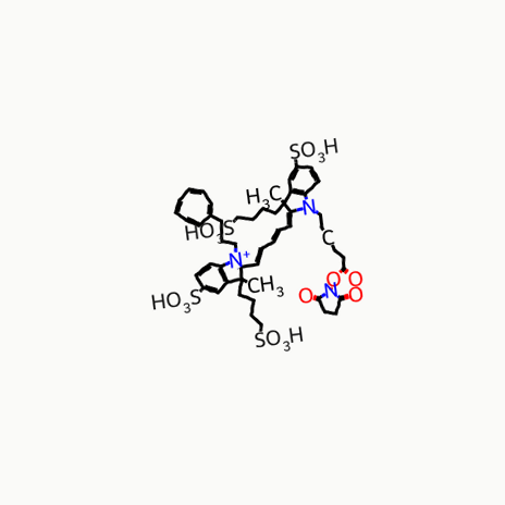 CC1(CCCCS(=O)(=O)O)C(/C=C/C=C/C=C2/N(CCCCCC(=O)ON3C(=O)CCC3=O)c3ccc(S(=O)(=O)O)cc3C2(C)CCCCS(=O)(=O)O)=[N+](CCCC2=C/C=C\C=C/C=C\2)c2ccc(S(=O)(=O)O)cc21